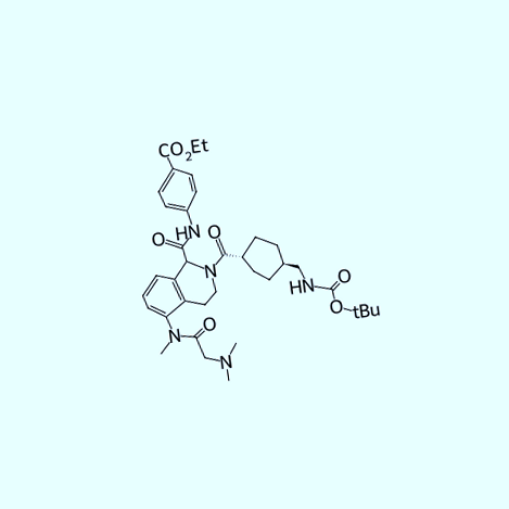 CCOC(=O)c1ccc(NC(=O)C2c3cccc(N(C)C(=O)CN(C)C)c3CCN2C(=O)[C@H]2CC[C@H](CNC(=O)OC(C)(C)C)CC2)cc1